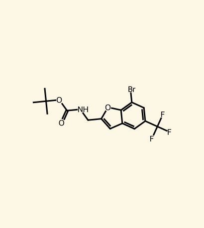 CC(C)(C)OC(=O)NCc1cc2cc(C(F)(F)F)cc(Br)c2o1